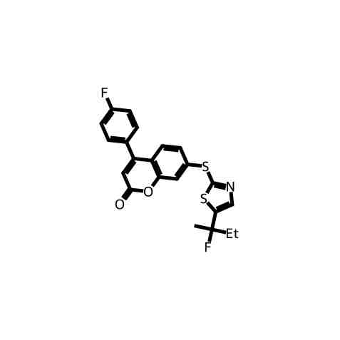 CCC(C)(F)c1cnc(Sc2ccc3c(-c4ccc(F)cc4)cc(=O)oc3c2)s1